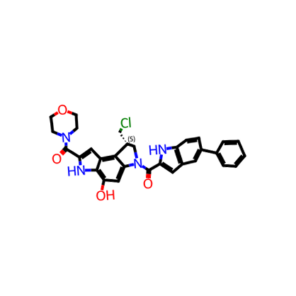 O=C(c1cc2c3c(cc(O)c2[nH]1)N(C(=O)c1cc2cc(-c4ccccc4)ccc2[nH]1)C[C@H]3CCl)N1CCOCC1